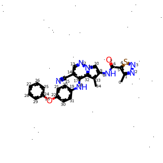 Cc1nnsc1C(=O)Nc1cn2ncc(C#N)c(Nc3ccc(Oc4ccccc4)cc3)c2c1C